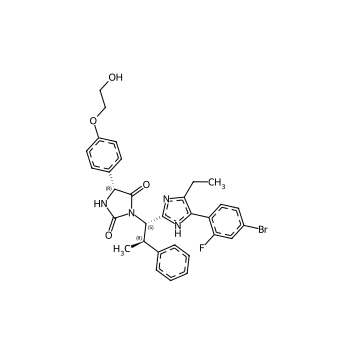 CCc1nc([C@H]([C@H](C)c2ccccc2)N2C(=O)N[C@H](c3ccc(OCCO)cc3)C2=O)[nH]c1-c1ccc(Br)cc1F